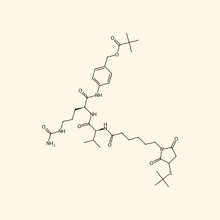 CC(C)[C@H](NC(=O)CCCCCN1C(=O)CC(SC(C)(C)C)C1=O)C(=O)N[C@@H](CCCNC(N)=O)C(=O)Nc1ccc(COC(=O)C(C)(C)C)cc1